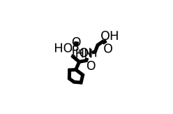 O=C(O)CCNC(=O)C(CP(=O)(O)O)C1CCCCC1